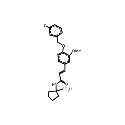 COc1cc(C=CC(=O)NC2(C(=O)O)CCCC2)ccc1OCc1cccc(F)c1